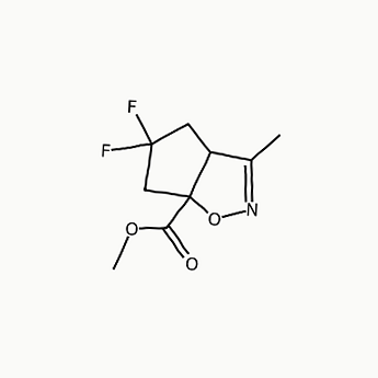 COC(=O)C12CC(F)(F)CC1C(C)=NO2